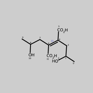 CC(O)C/C(C(=O)O)=C(/CC(C)O)C(=O)O